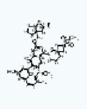 CCc1c(F)ccc2cc(O)cc(-c3ncc4c(N5CCCC6(C5)CN(S(C)(=O)=O)C6)nc(OC[C@@]56CCCN5C[C@H](F)C6)nc4c3F)c12